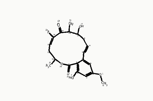 COc1cc(O)c2c(c1)/C=C/CC(O)C(O)C(=O)/C(F)=C\CC(C)OC2=O